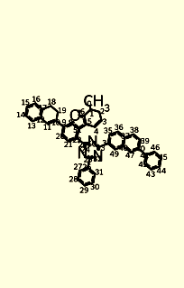 CC1CC=Cc2c1oc1c(C3=Cc4ccccc4CC3)ccc(-c3nc(-c4ccccc4)nc(-c4ccc5ccc(-c6ccccc6)cc5c4)n3)c21